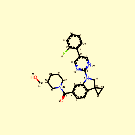 O=C(c1ccc2c(c1)N(c1ncc(-c3ccccc3F)cn1)CC21CC1)N1CCC[C@@H](CO)C1